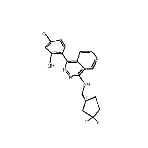 Oc1cc(Cl)ccc1-c1nnc(NC[C@H]2CCC(F)(F)C2)c2cnccc12